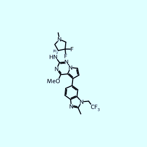 COc1nc(N[C@@H]2CN(C)CC2(F)F)nn2ccc(-c3ccc4nc(C)n(CC(F)(F)F)c4c3)c12